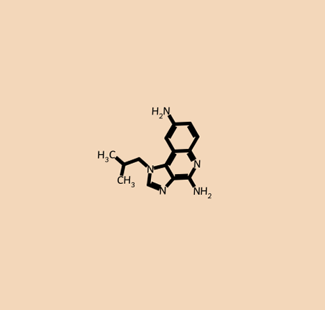 CC(C)Cn1cnc2c(N)nc3ccc(N)cc3c21